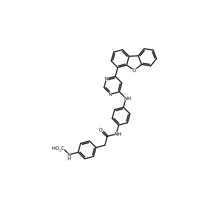 O=C(O)Nc1ccc(CC(=O)Nc2ccc(Nc3cc(-c4cccc5c4oc4ccccc45)ncn3)cc2)cc1